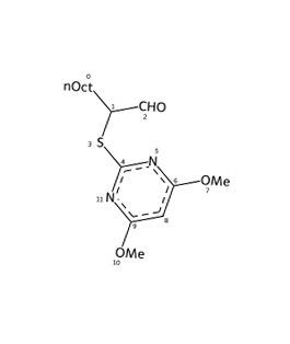 CCCCCCCCC(C=O)Sc1nc(OC)cc(OC)n1